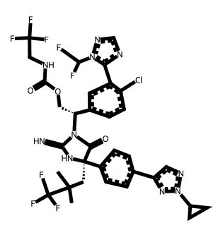 CC(C)(C[C@]1(c2ccc(-c3cnn(C4CC4)n3)cc2)NC(=N)N([C@H](COC(=O)NCC(F)(F)F)c2ccc(Cl)c(-c3ncnn3C(F)F)c2)C1=O)C(F)(F)F